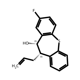 C=CC[C@H]1c2ccccc2Sc2ccc(F)cc2[C@H]1O